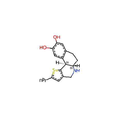 CCCc1cc2c(s1)[C@H]1c3cc(O)c(O)cc3CC[C@@H]1NC2